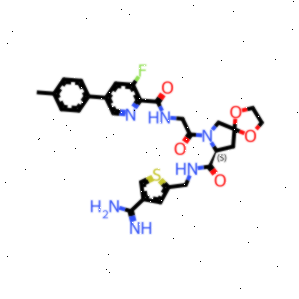 Cc1ccc(-c2cnc(C(=O)NCC(=O)N3CC4(C[C@H]3C(=O)NCc3cc(C(=N)N)cs3)OCCO4)c(F)c2)cc1